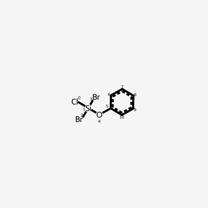 Cl[Si](Br)(Br)Oc1ccccc1